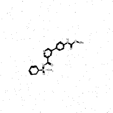 CC(C)(C)OC(=O)Nc1ccc(-c2cncc(C(=O)N=[S@@](C)(=O)C3C=CC=CC3)c2)cc1